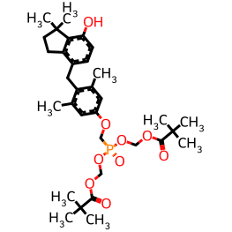 Cc1cc(OCP(=O)(OCOC(=O)C(C)(C)C)OCOC(=O)C(C)(C)C)cc(C)c1Cc1ccc(O)c2c1CCC2(C)C